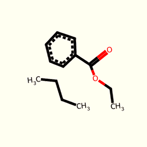 CCCC.CCOC(=O)c1ccccc1